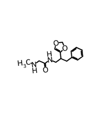 CNCC(=O)NCC(Cc1ccccc1)C1=COCO1